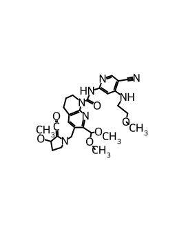 COCCNc1cc(NC(=O)N2CCCc3cc(CN4CCC(OC)C4=C=O)c(C(OC)OC)nc32)ncc1C#N